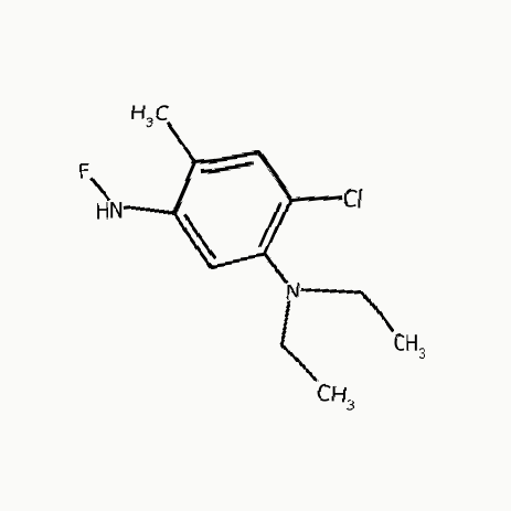 CCN(CC)c1cc(NF)c(C)cc1Cl